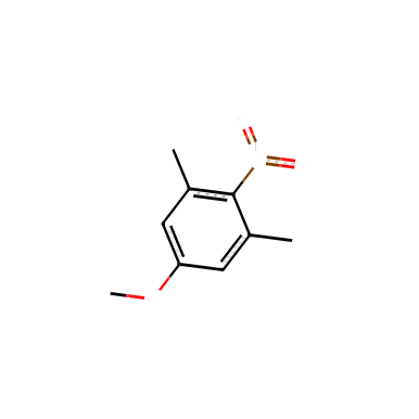 COc1cc(C)c([SH](=O)=O)c(C)c1